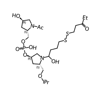 CCC(=O)CCSSCCCC(O)N1C[C@H](OP(=O)(O)OC[C@@H]2C[C@@H](O)CN2C(C)=O)C[C@H]1COC(C)C